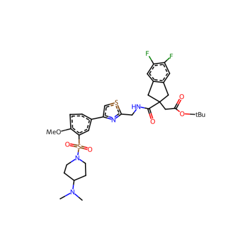 COc1ccc(-c2csc(CNC(=O)C3(CC(=O)OC(C)(C)C)Cc4cc(F)c(F)cc4C3)n2)cc1S(=O)(=O)N1CCC(N(C)C)CC1